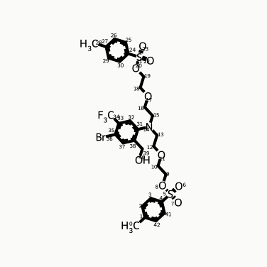 Cc1ccc(S(=O)(=O)OCCOCCN(CCOCCOS(=O)(=O)c2ccc(C)cc2)c2cc(C(F)(F)F)c(Br)cc2CO)cc1